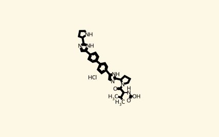 CC(C)[C@H](NC(=O)O)C(=O)N1CCCC1c1ncc(-c2ccc(-c3ccc(-c4cnc(C5CCCN5)[nH]4)cc3)cc2)[nH]1.Cl